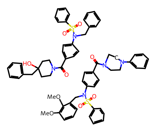 COc1cccc(CN(c2ccc(C(=O)N3CCN(c4ccccc4)CC3)cc2)S(=O)(=O)c2ccccc2)c1OC.O=C(c1ccc(N(Cc2ccccc2)S(=O)(=O)c2ccccc2)cc1)N1CCC(O)(Cc2ccccc2)CC1